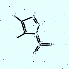 CC1=C(C)S(=S(=O)=O)N=N1